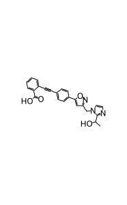 CC(O)c1nccn1Cc1cc(-c2ccc(C#Cc3ccccc3C(=O)O)cc2)on1